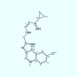 N=C(/C=C\NCc1nc2cnc3ccc(Cl)cc3c2[nH]1)C1CC1